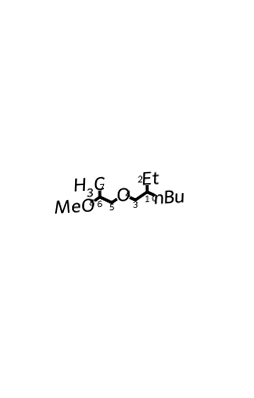 CCCCC(CC)COCC(C)OC